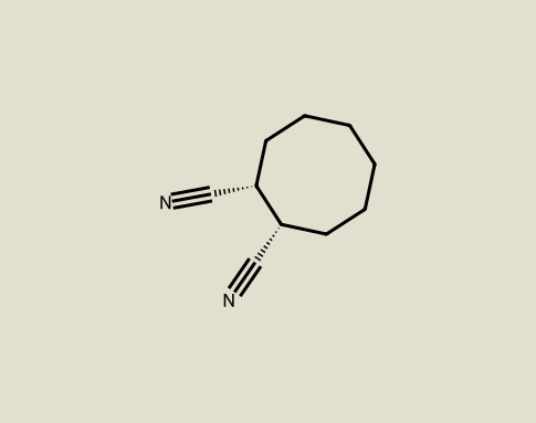 N#C[C@@H]1CCCCCC[C@@H]1C#N